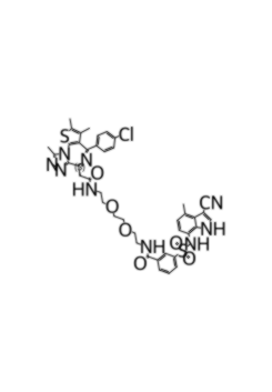 Cc1sc2c(c1C)C(c1ccc(Cl)cc1)=N[C@@H](CC(=O)NCCOCCOCCNC(=O)c1cccc(S(=O)(=O)Nc3ccc(C)c4c(C#N)c[nH]c34)c1)c1nnc(C)n1-2